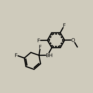 COc1cc(BC2(F)C=CC=C(F)C2)c(F)cc1F